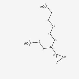 CCCCCCCCCCCCCC(CCC(=O)O)C1CC1